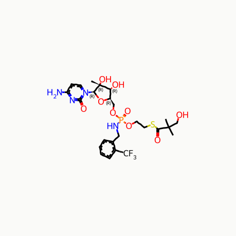 CC(C)(CO)C(=O)SCCOP(=O)(NCc1ccccc1C(F)(F)F)OC[C@H]1O[C@@H](n2ccc(N)nc2=O)[C@](C)(O)[C@@H]1O